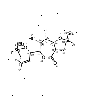 CC(C)=C[C@H](O[Si](C)(C)C(C)(C)C)C1OC(=O)[C@H](C)[C@@H](O[Si](C)(C)C(C)(C)C)[C@@H](C)[C@H]1O